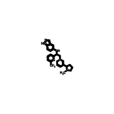 Cc1cccc(C(CN2C=C(C3CCCN3C)C=CC2)Nc2ccc3[nH]ncc3c2)n1